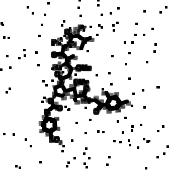 CC[C@H](C)[C@@H]([C@@H](CC(=O)N1C[C@@H](OC(=O)Oc2ccc([N+](=O)[O-])cc2)C[C@H]1[C@H](OC)[C@@H](C)C(=O)NCC(=O)c1ccc(C)cc1C)OC)N(C)C(=O)[C@@H](NC(=O)[C@H](C(C)C)N(C)C)C(C)C